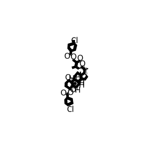 CC1=C(COC(=O)c2ccc(Cl)cc2)C(=O)O[C@@H]([C@@H](C)[C@H]2CC[C@H]3[C@@H]4C[C@H]5O[C@]56[C@@H](OC(=O)c5ccc(Cl)cc5)C=CC(=O)[C@]6(CO)[C@H]4CC[C@]23C)C1